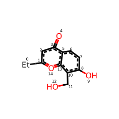 CCc1cc(=O)c2ccc(O)c(CO)c2o1